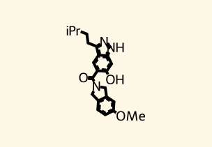 COc1ccc2c(c1)CN(C(=O)c1cc3c(CCC(C)C)n[nH]c3cc1O)C2